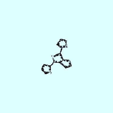 c1csc(-c2sc(-c3cccs3)c3sccc23)c1